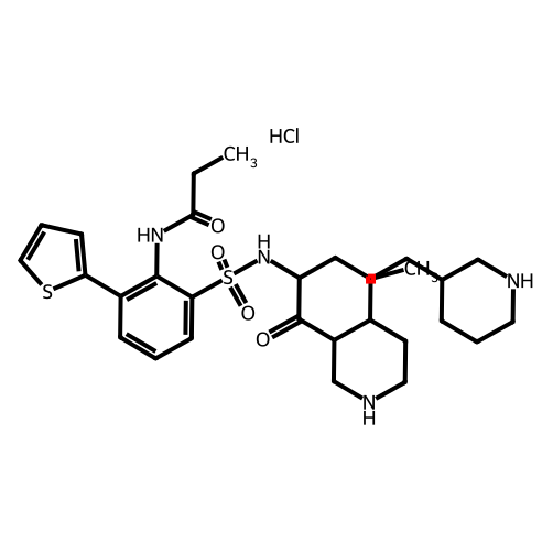 CCC(=O)Nc1c(-c2cccs2)cccc1S(=O)(=O)NC(CCCC1CCCNC1)C(=O)C1CNCCC1CC.Cl